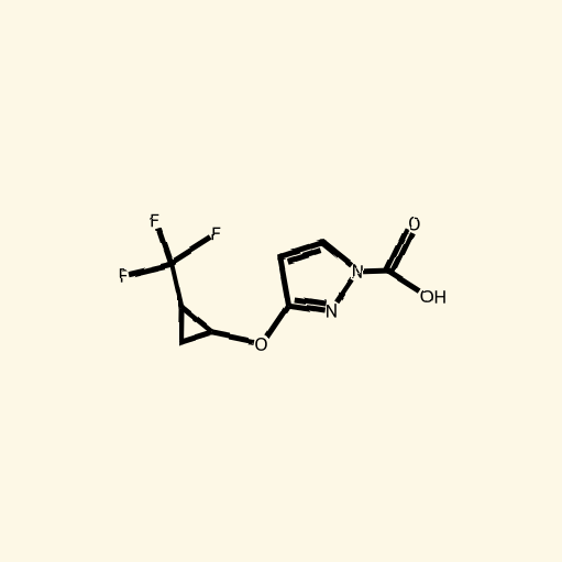 O=C(O)n1ccc(OC2CC2C(F)(F)F)n1